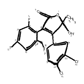 CC1(O)OC(=O)C(c2c(F)cc(F)cc2F)=C1c1ccc(Cl)c(Cl)c1